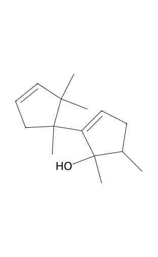 CC1CC=C(C2(C)CC=CC2(C)C)C1(C)O